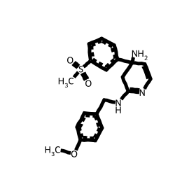 COc1ccc(CNC2=NC=CC(N)(c3cccc(S(C)(=O)=O)c3)C2)cc1